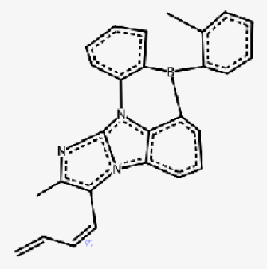 C=C/C=C\c1c(C)nc2n3c4c(cccc4n12)B(c1ccccc1C)c1ccccc1-3